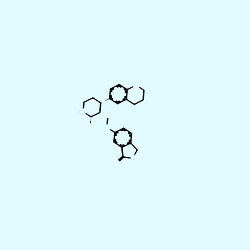 C[C@H]1NCC[C@@H](c2ccc3c(c2)CCCO3)[C@@H]1COc1ccc2c(c1)C(=O)NC2